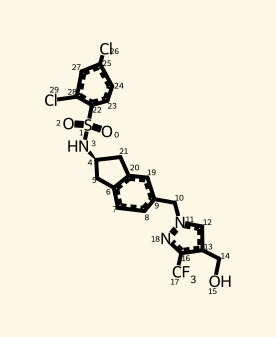 O=S(=O)(N[C@@H]1Cc2ccc(Cn3cc(CO)c(C(F)(F)F)n3)cc2C1)c1ccc(Cl)cc1Cl